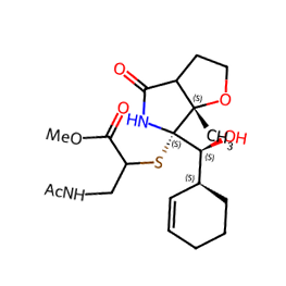 COC(=O)C(CNC(C)=O)S[C@]1([C@@H](O)[C@@H]2C=CCCC2)NC(=O)C2CCO[C@@]21C